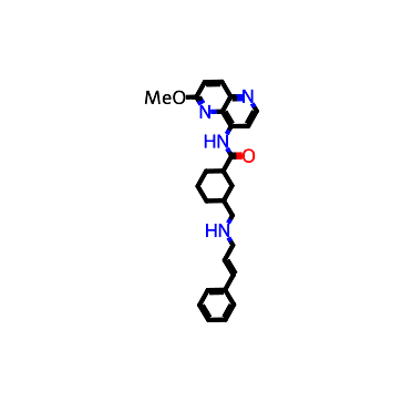 COc1ccc2nccc(NC(=O)C3CCCC(CNC/C=C/c4ccccc4)C3)c2n1